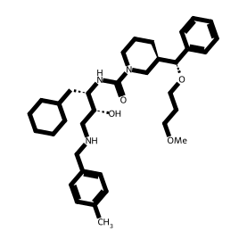 COCCCO[C@@H](c1ccccc1)[C@@H]1CCCN(C(=O)N[C@@H](CC2CCCCC2)[C@H](O)CNCc2ccc(C)cc2)C1